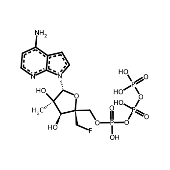 C[C@@]1(O)[C@H](O)[C@@](CF)(COP(=O)(O)OP(=O)(O)OP(=O)(O)O)O[C@H]1n1ccc2c(N)ccnc21